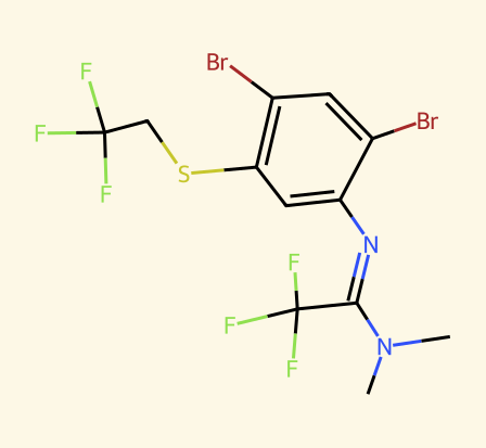 CN(C)/C(=N/c1cc(SCC(F)(F)F)c(Br)cc1Br)C(F)(F)F